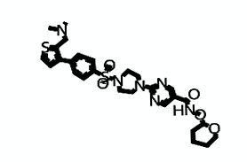 CN(C)Cc1sccc1-c1ccc(S(=O)(=O)N2CCN(c3ncc(C(=O)NOC4CCCCO4)cn3)CC2)cc1